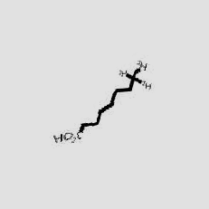 [2H]C([2H])([2H])CCCCCCC(=O)O